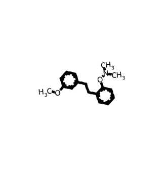 COc1cccc(CCc2ccccc2ON(C)C)c1